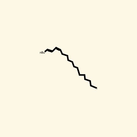 CCCC/C=C/C=C\CCCCCCCCCCCI